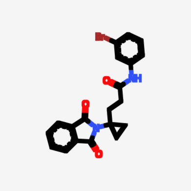 O=C(CCC1(N2C(=O)c3ccccc3C2=O)CC1)Nc1cccc(Br)c1